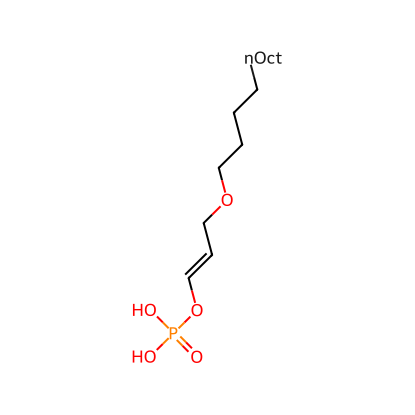 CCCCCCCCCCCCOCC=COP(=O)(O)O